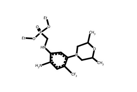 CCOP(=O)(CNc1cc(N2CC(C)OC(C)C2)c(C(F)(F)F)cc1N)OCC